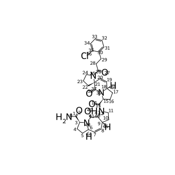 NC(=O)[C@@H]1CC[C@@H]2C=C[C@H]3CCN(C(=O)[C@@H]4CC[C@H]5C=C[C@]6(CCCN6C(=O)CCc6ccccc6Cl)C(=O)N54)[C@@H]3C(=O)N21